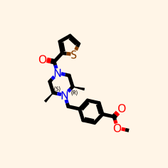 COC(=O)c1ccc(CN2[C@H](C)CN(C(=O)c3cccs3)C[C@@H]2C)cc1